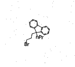 CCCC1(CCCBr)c2ccccc2-c2ccccc21